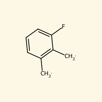 [CH2]c1cccc(F)c1[CH2]